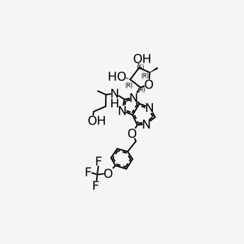 CC(CCO)Nc1nc2c(OCc3ccc(OC(F)(F)F)cc3)ncnc2n1[C@@H]1O[C@H](C)[C@@H](O)[C@H]1O